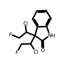 O=C1Nc2ccccc2C1(C(Cl)CF)C(Cl)CF